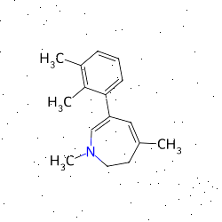 CC1=CC(c2cccc(C)c2C)=CN(C)CC1